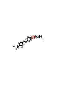 FC(F)(F)c1ccc(CCC2CCC(COC[SiH3])CC2)cc1